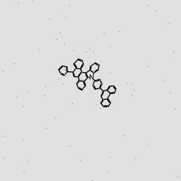 c1ccc(-c2cc3c4ccccc4c4c(c5ccccc5n4-c4ccc(-c5cc6ccccc6c6ccccc56)cc4)c3c3ccccc23)cc1